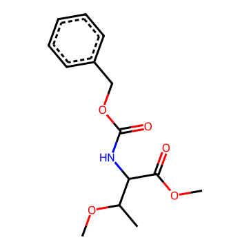 COC(=O)C(NC(=O)OCc1ccccc1)C(C)OC